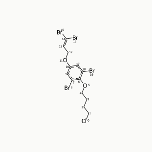 ClCCCCOc1c(Br)cc(OCC=C(Br)Br)cc1Br